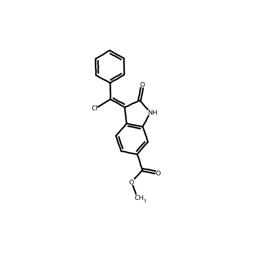 COC(=O)c1ccc2c(c1)NC(=O)C2=C(Cl)c1ccccc1